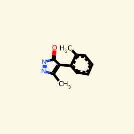 CC1=C(c2ccccc2C)C(=O)N=N1